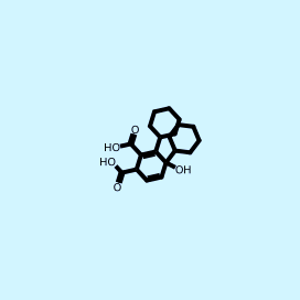 O=C(O)C1=C(C2CCCCC2)C(O)(C2CCCCC2)C=CC1C(=O)O